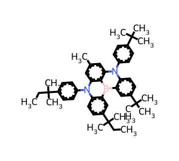 CCC(C)(C)c1ccc(N2c3ccc(C(C)(C)CC)cc3B3c4cc(C(C)(C)C)ccc4N(c4ccc(C(C)(C)C)cc4)c4cc(C)cc2c43)cc1